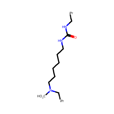 CC(C)CNC(=O)NCCCCCCN(CC(C)C)C(=O)O